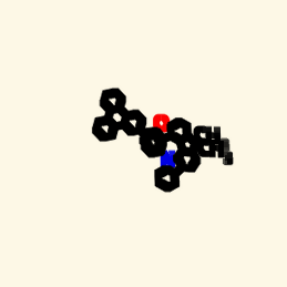 CC1(C)c2ccc3oc4ccccc4c3c2-c2c1ccc1c3ccccc3n(-c3ccc(-c4ccc5c6ccccc6c6ccccc6c5c4)cc3)c21